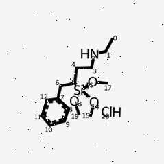 CCNCCC(Cc1ccccc1)[Si](OC)(OC)OC.Cl